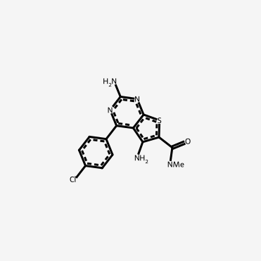 CNC(=O)c1sc2nc(N)nc(-c3ccc(Cl)cc3)c2c1N